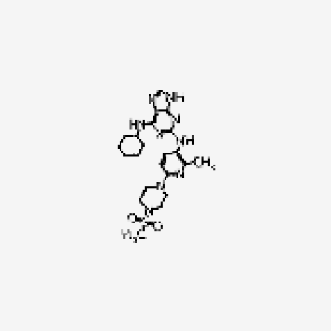 Cc1nc(N2CCN(S(C)(=O)=O)CC2)ccc1Nc1nc(NC2CCCCC2)c2nc[nH]c2n1